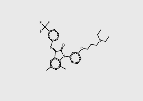 CCN(CC)CCCOc1cccc(N2C(=O)C(=Nc3cccc(C(F)(F)F)c3)c3cc(C)cc(C)c32)c1